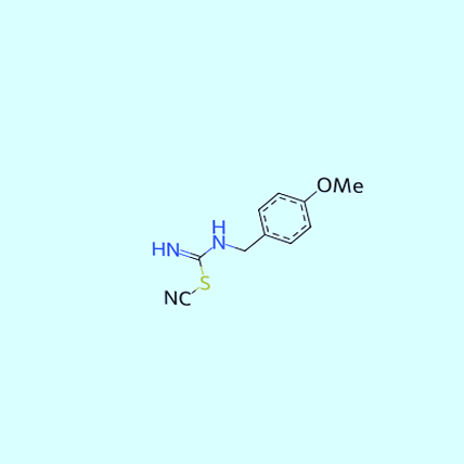 COc1ccc(CNC(=N)SC#N)cc1